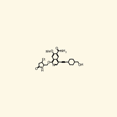 CCC1CC(=O)NC1COc1ncc(C#CC2CCC(CO)CC2)c2cc(C(N)=O)c(OC)cc12